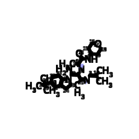 CC(C)=C/N=C(/C)C(/N=C(\C)C(=O)NC1CCOCC1)=C(N)N1CCc2cc(C(C)(C)C)ccc21